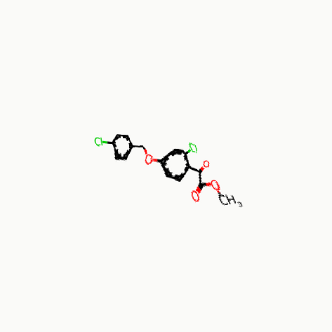 COC(=O)C(=O)c1ccc(OCc2ccc(Cl)cc2)cc1Cl